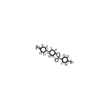 O=C(Oc1ccc(-c2ccc(F)cc2)cc1)c1ccc(I)cc1